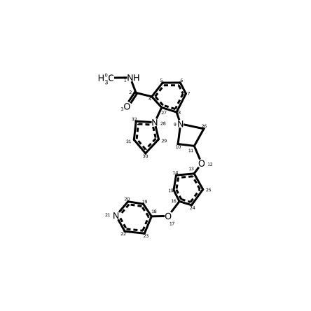 CNC(=O)c1cccc(N2CC(Oc3ccc(Oc4ccncc4)cc3)C2)c1-n1cccc1